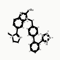 CCCCc1nc2ccc(C3=NCCN3C)cc2n1Cc1ccc(-c2ccccc2-c2nnn[nH]2)cc1